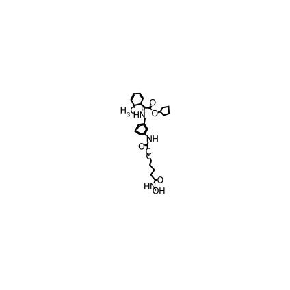 CC1C=CC=CC1[C@H](NCc1cccc(NC(=O)CCCCCCC(=O)NO)c1)C(=O)OC1CCCC1